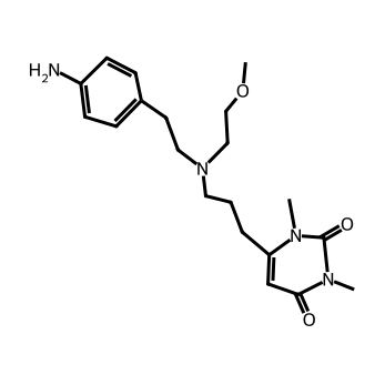 COCCN(CCCc1cc(=O)n(C)c(=O)n1C)CCc1ccc(N)cc1